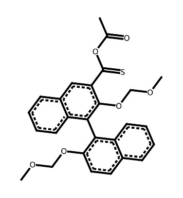 COCOc1ccc2ccccc2c1-c1c(OCOC)c(C(=S)OC(C)=O)cc2ccccc12